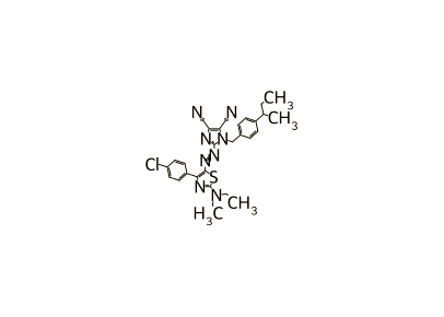 CCC(C)c1ccc(Cn2c(/N=N/c3sc(N(CC)CC)nc3-c3ccc(Cl)cc3)nc(C#N)c2C#N)cc1